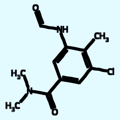 Cc1c(Cl)cc(C(=O)N(C)C)cc1NC=O